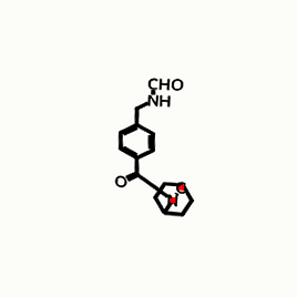 O=CNCc1ccc(C(=O)N2CC3CCC(CC3)C2)cc1